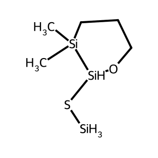 C[Si]1(C)CCCO[SiH]1S[SiH3]